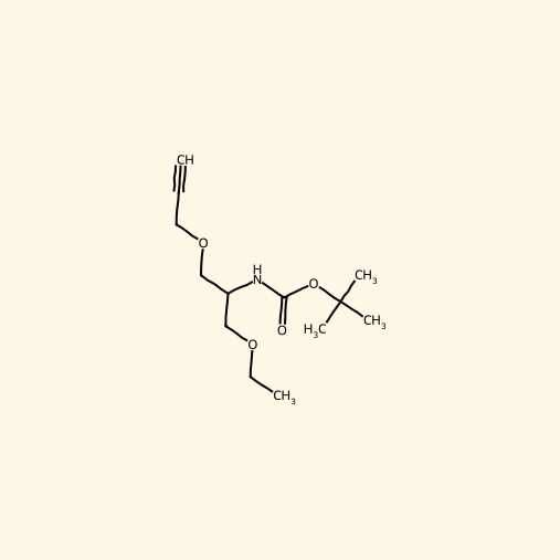 C#CCOCC(COCC)NC(=O)OC(C)(C)C